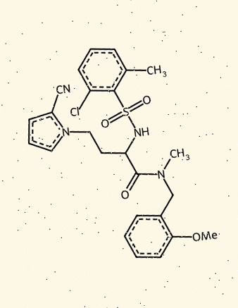 COc1ccccc1CN(C)C(=O)C(CCn1cccc1C#N)NS(=O)(=O)c1c(C)cccc1Cl